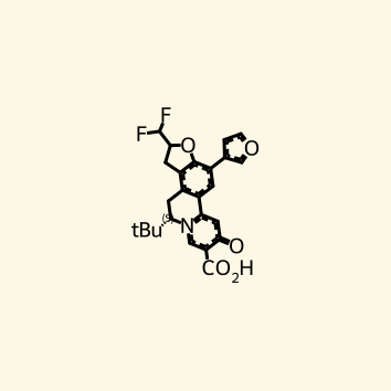 CC(C)(C)[C@@H]1Cc2c(cc(-c3ccoc3)c3c2CC(C(F)F)O3)-c2cc(=O)c(C(=O)O)cn21